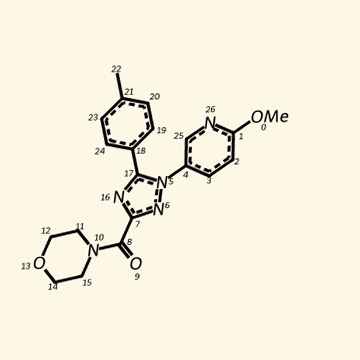 COc1ccc(-n2nc(C(=O)N3CCOCC3)nc2-c2ccc(C)cc2)cn1